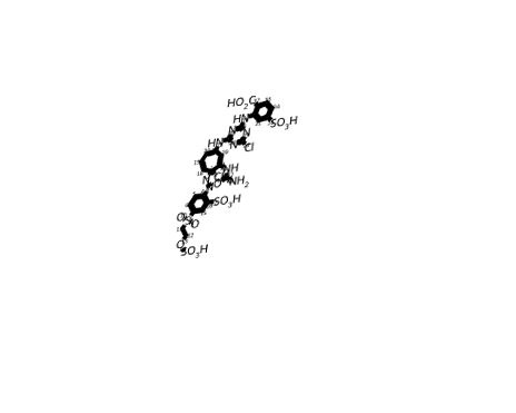 CC1(/N=N/c2ccc(S(=O)(=O)CCOS(=O)(=O)O)cc2S(=O)(=O)O)C=CC=C(Nc2nc(Cl)nc(Nc3cc(S(=O)(=O)O)ccc3C(=O)O)n2)C=C1NC(N)=O